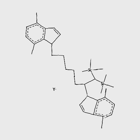 Cc1ccc(C)c2c1C=CC2CCCCCC(C1C=Cc2c(C)ccc(C)c21)C([Si](C)(C)C)[Si](C)(C)C.[Y]